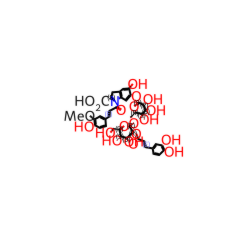 COc1cc(/C=C/C(=O)N2c3cc(O[C@@H]4O[C@H](CO[C@@H]5O[C@H](CO)[C@@H](O)[C@H](O)[C@H]5OC(=O)/C=C/c5ccc(O)c(O)c5)[C@@H](O)[C@H](O)[C@H]4O)c(O)cc3C[C@H]2C(=O)O)ccc1O